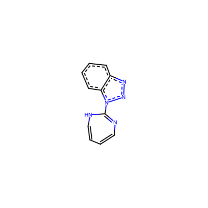 C1=CN=C(n2nnc3ccccc32)NC=C1